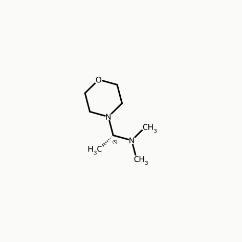 C[C@@H](N(C)C)N1CCOCC1